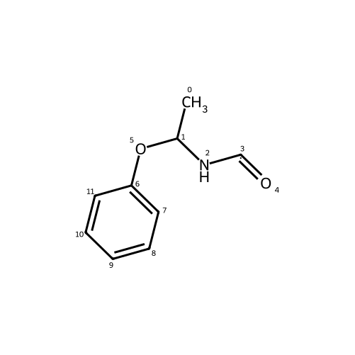 CC(N[C]=O)Oc1ccccc1